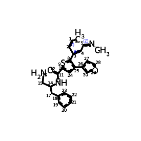 C\C=C/C(=C\C=N/C)c1sc(C(=O)NC(CN)Cc2ccccc2)cc1-c1ccoc1